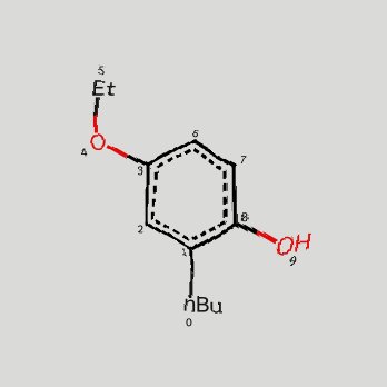 CCCCc1cc(OCC)ccc1O